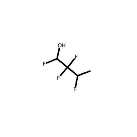 CC(F)C(F)(F)[C](O)F